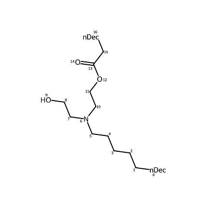 CCCCCCCCCCCCCCCN(CCO)CCOC(=O)CCCCCCCCCCC